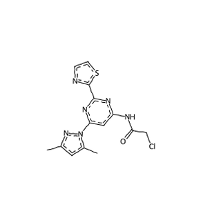 Cc1cc(C)n(-c2cc(NC(=O)CCl)nc(-c3nccs3)n2)n1